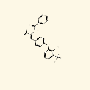 O=C(O)C(=Cc1ccc(Oc2cccc(C(F)(F)F)c2Cl)cc1)NC(=O)c1ccccc1